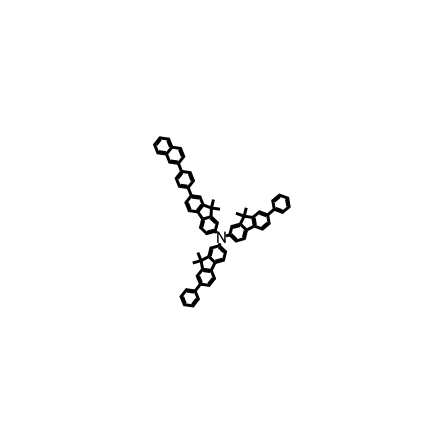 CC1(C)c2cc(-c3ccccc3)ccc2-c2ccc(N(c3ccc4c(c3)C(C)(C)c3cc(-c5ccccc5)ccc3-4)c3ccc4c(c3)C(C)(C)c3cc(-c5ccc(-c6ccc7ccccc7c6)cc5)ccc3-4)cc21